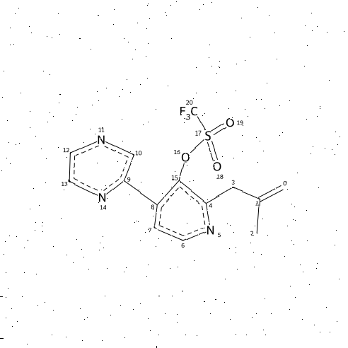 C=C(C)Cc1nccc(-c2cnccn2)c1OS(=O)(=O)C(F)(F)F